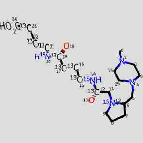 CN1CCN(CC2CCC[15N]2C[13C](=O)[15NH][13CH2][13CH2][13CH2][13C](=O)[15NH][13CH2][13CH2][13CH2][13C](=O)O)CC1